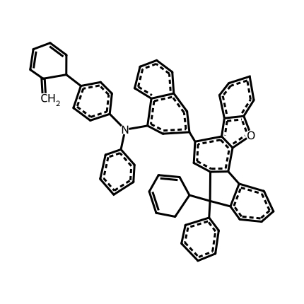 C=C1C=CC=CC1c1ccc(N(c2ccccc2)c2cc(-c3cc4c(c5oc6ccccc6c35)-c3ccccc3C4(c3ccccc3)C3C=CC=CC3)cc3ccccc23)cc1